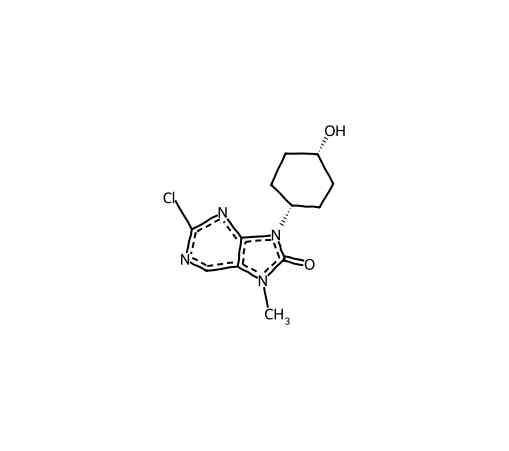 Cn1c(=O)n([C@H]2CC[C@@H](O)CC2)c2nc(Cl)ncc21